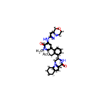 CC(=O)OCc1c(-c2cc(Nc3cc4n(n3)CCOC4)c(=O)n(C)c2)cccc1C1Cn2c(cc3c2CCCC3)C(=O)N1